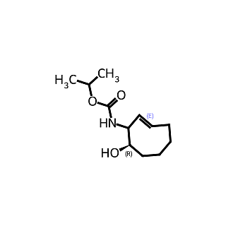 CC(C)OC(=O)NC1/C=C/CCCC[C@H]1O